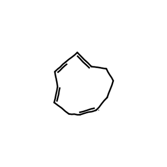 [C]1=C\C/C=C/C=C\C=C\CCC/1